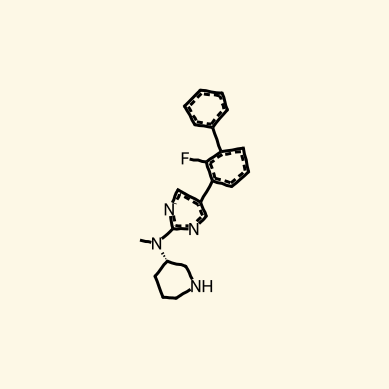 CN(c1ncc(-c2cccc(-c3ccccc3)c2F)cn1)[C@H]1CCCNC1